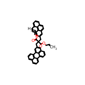 C=CCOC(=O)C(Cc1cc2ccc3cccc4ccc(c1)c2c34)(Cc1cc2cccc3c4cccc5cccc(c(c1)c23)c54)C(=O)OCC=C